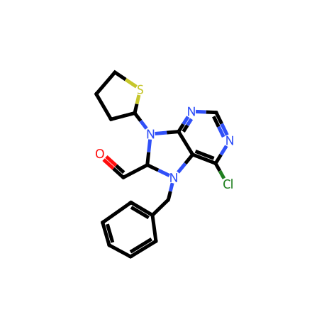 O=CC1N(Cc2ccccc2)c2c(Cl)ncnc2N1C1CCCS1